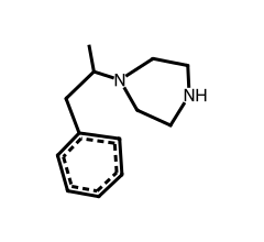 CC(Cc1ccccc1)N1CCNCC1